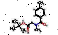 Cc1ccc(C(=O)N(C)CC(=O)OC(C)(C)C)cc1